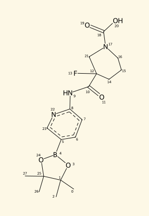 CC1(C)OB(c2ccc(NC(=O)C3(F)CCCN(C(=O)O)C3)nc2)OC1(C)C